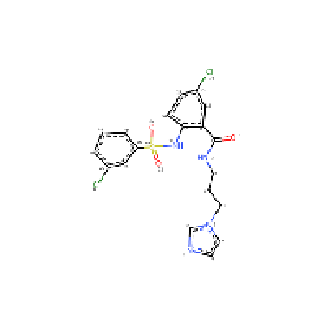 O=C(NCCCn1ccnc1)c1cc(Cl)ccc1NS(=O)(=O)c1cccc(Cl)c1